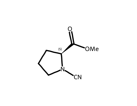 COC(=O)[C@@H]1CCCN1C#N